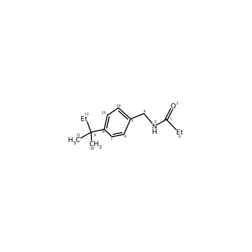 CCC(=O)NCc1ccc(C(C)(C)CC)cc1